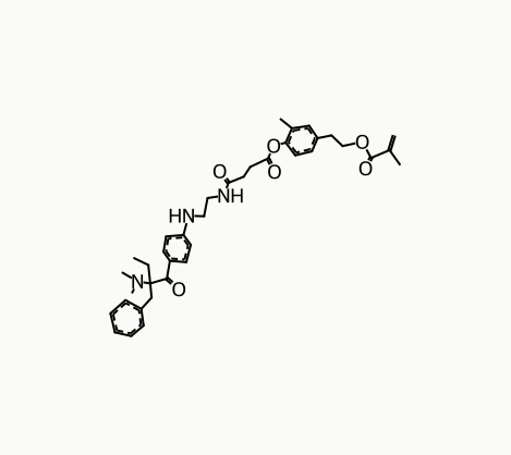 C=C(C)C(=O)OCCc1ccc(OC(=O)CCC(=O)NCCNc2ccc(C(=O)C(CC)(Cc3ccccc3)N(C)C)cc2)c(C)c1